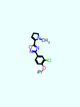 CC(C)Oc1ccc(-c2noc(C3=CCCN3C)n2)cc1Cl